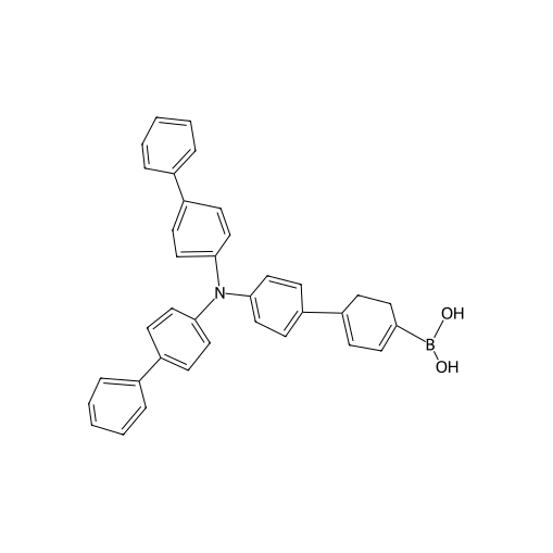 OB(O)C1=CC=C(c2ccc(N(c3ccc(-c4ccccc4)cc3)c3ccc(-c4ccccc4)cc3)cc2)CC1